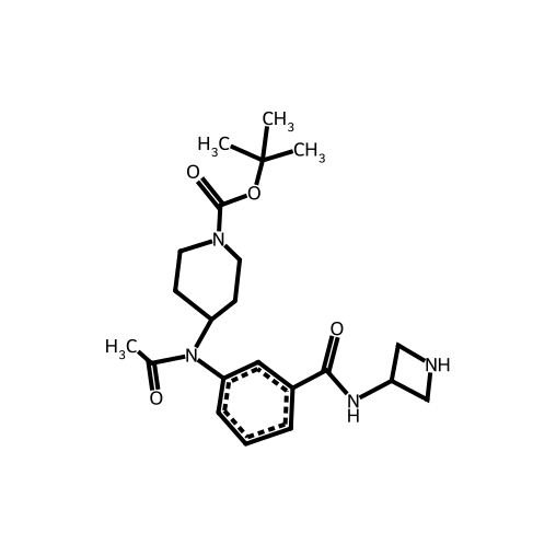 CC(=O)N(c1cccc(C(=O)NC2CNC2)c1)C1CCN(C(=O)OC(C)(C)C)CC1